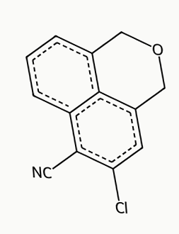 N#Cc1c(Cl)cc2c3c(cccc13)COC2